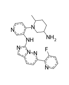 CC1CCC(N)CN1c1ccncc1Nc1ncc2ccc(-c3ncccc3F)nn12